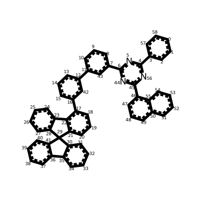 c1ccc(-c2nc(-c3cccc(-c4cccc(-c5cccc6c5-c5ccccc5C65c6ccccc6-c6ccccc65)c4)c3)nc(-c3cccc4ccccc34)n2)cc1